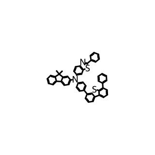 CC1(C)c2ccccc2-c2ccc(N(c3ccc(-c4cccc5c4sc4c(-c6ccccc6)cccc45)cc3)c3ccc4nc(-c5ccccc5)sc4c3)cc21